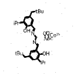 CC(=O)[O-].CC(=O)[O-].CC(C)c1cc(CC(C)(C)C)cc(C=NCN=Cc2cc(CC(C)(C)C)cc(C(C)C)c2O)c1O.[Co+2]